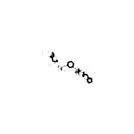 O=C(CC1=CCC=N1)Nc1nnc([C@H]2CCC[C@H](c3nnc(NC(=O)Cc4c[nH]cn4)s3)C2)s1